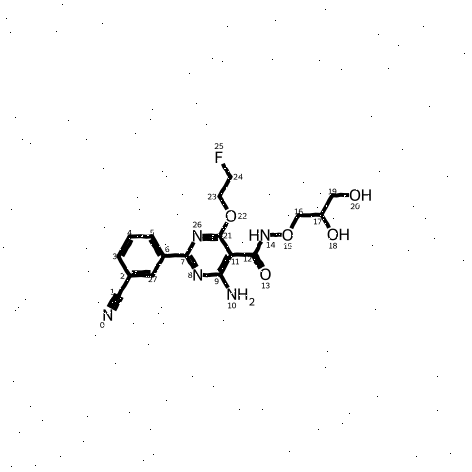 N#Cc1cccc(-c2nc(N)c(C(=O)NOCC(O)CO)c(OCCF)n2)c1